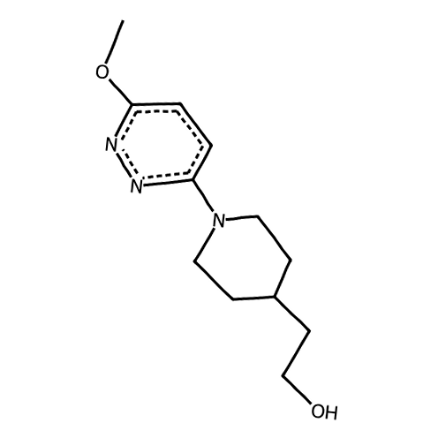 COc1ccc(N2CCC(CCO)CC2)nn1